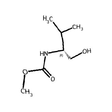 COC(=O)N[C@@H](CO)C(C)C